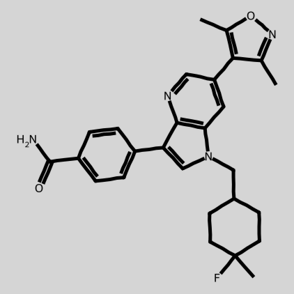 Cc1noc(C)c1-c1cnc2c(-c3ccc(C(N)=O)cc3)cn(CC3CCC(C)(F)CC3)c2c1